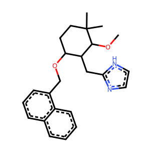 COC1C(Cc2ncc[nH]2)C(OCc2cccc3ccccc23)CCC1(C)C